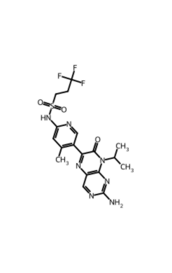 Cc1cc(NS(=O)(=O)CCC(F)(F)F)ncc1-c1nc2cnc(N)nc2n(C(C)C)c1=O